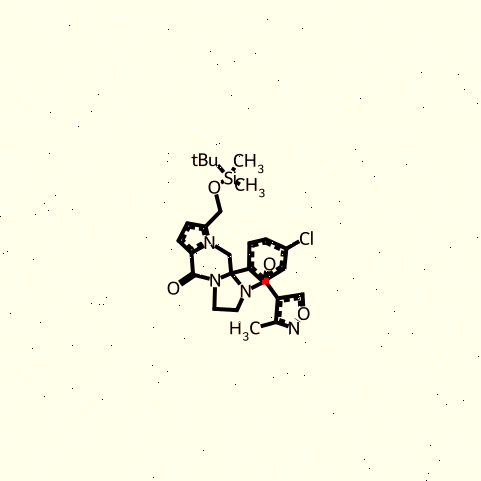 Cc1nocc1C(=O)N1CCN2C(=O)c3ccc(CO[Si](C)(C)C(C)(C)C)n3CC12c1ccc(Cl)cc1